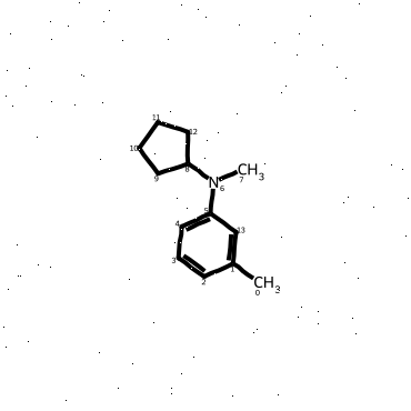 Cc1cccc(N(C)C2CCCC2)c1